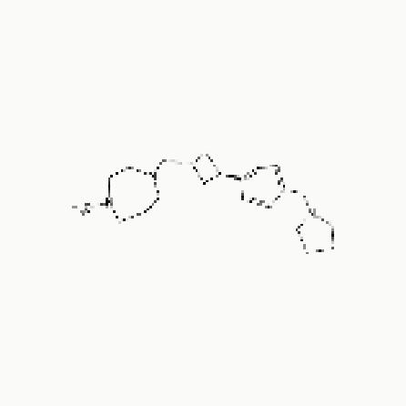 CN1CCCN(C[C@H]2C[C@H](c3ccc(CN4CCCC4)cc3)C2)CC1